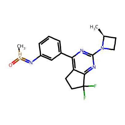 C[C@H]1CCN1c1nc(-c2cccc(/N=[SH](\C)=O)c2)c2c(n1)C(F)(F)CC2